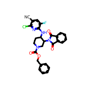 N#Cc1cc(F)c(NC2CCN(C(=O)OCc3ccccc3)CC2N2C(=O)c3ccccc3C2=O)nc1Cl